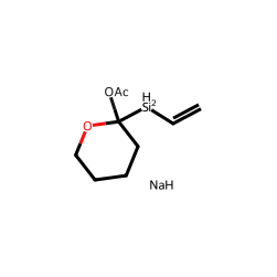 C=C[SiH2]C1(OC(C)=O)CCCCO1.[NaH]